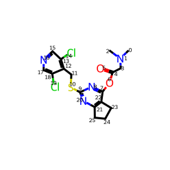 CN(C)CC(=O)Oc1nc(SCc2c(Cl)cncc2Cl)nc2c1CCC2